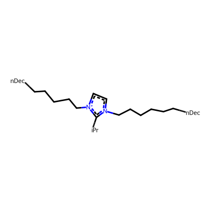 CCCCCCCCCCCCCCCCn1cc[n+](CCCCCCCCCCCCCCC)c1C(C)C